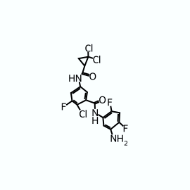 Nc1cc(NC(=O)c2cc(NC(=O)C3CC3(Cl)Cl)cc(F)c2Cl)c(F)cc1F